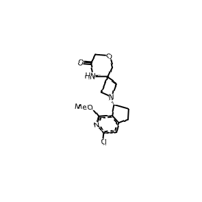 COc1nc(Cl)cc2c1[C@H](N1CC3(COCC(=O)N3)C1)CC2